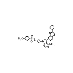 Cc1ccc(S(=O)(=O)OCC2CC(N3CC(c4ccc5ccc(-c6ccccc6)nc5c4)c4c(N)ncnc43)C2)cc1